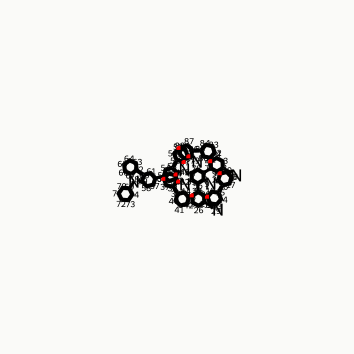 N#Cc1cccc(-c2c(-n3c4ccccc4c4ccccc43)c(-c3cccc(C#N)c3)c(-n3c4ccccc4c4ccccc43)c(-n3c4ccccc4c4cc(-c5ccc6c(c5)c5ccccc5n6-c5ccccc5)ccc43)c2-n2c3ccccc3c3ccccc32)c1